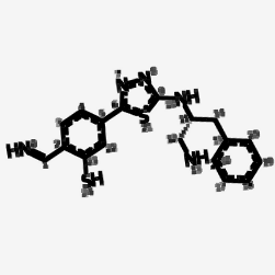 N=Cc1ccc(-c2nnc(N[C@@H](CN)Cc3ccccc3)s2)cc1S